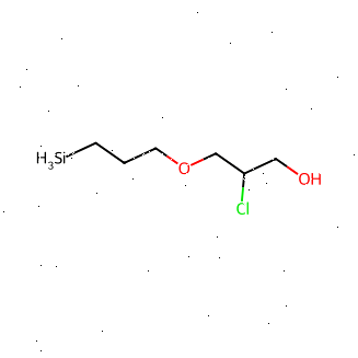 OCC(Cl)COCCC[SiH3]